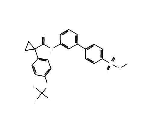 CNS(=O)(=O)c1ccc(-c2cccc(NC(=O)C3(c4ccc(OC(F)(F)F)cc4)CC3)c2)cc1